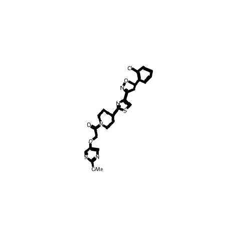 COc1ncc(OCC(=O)N2CCC(c3nc(C4=NOC(c5[c]cccc5Cl)C4)cs3)CC2)cn1